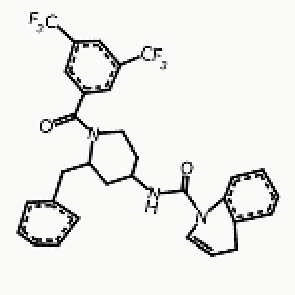 O=C(NC1CCN(C(=O)c2cc(C(F)(F)F)cc(C(F)(F)F)c2)C(Cc2ccccc2)C1)N1C=CCc2ccccc21